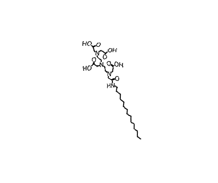 CCCCCCCCCCCCCCCNC(=O)CN(CCN(CCN(CC(=O)O)CC(=O)O)CC(=O)O)CC(=O)O